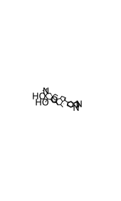 CC1C=C2C=C3[C@@H](O)[C@H](O)[C@@H](N(C)C)C[C@]34CC[C@]2(O4)C2CC=C(c3ccc4ncncc4c3)[C@@]12C